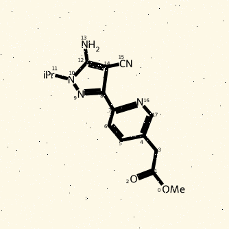 COC(=O)Cc1ccc(-c2nn(C(C)C)c(N)c2C#N)nc1